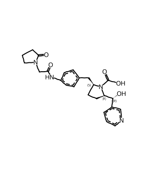 O=C(CN1CCCC1=O)Nc1ccc(C[C@@H]2CC[C@H]([C@H](O)c3cccnc3)N2C(=O)O)cc1